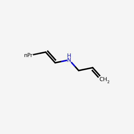 C=CCNC=CCCC